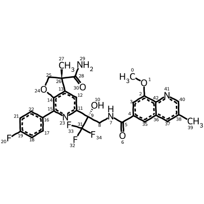 COc1cc(C(=O)NC[C@](O)(c2cc3c(c(-c4ccc(F)cc4)n2)OC[C@]3(C)C(N)=O)C(F)(F)F)cc2cc(C)cnc12